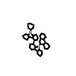 c1ccc(-n2c3ccccc3c3c(-c4cccc5c6ccccc6n(-c6cc7ccccc7c7ccccc67)c45)cccc32)cc1